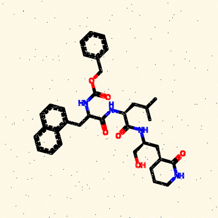 CC(C)C[C@H](NC(=O)C(Cc1cccc2ccccc12)NC(=O)OCc1ccccc1)C(=O)N[C@H](CO)C[C@@H]1CCCNC1=O